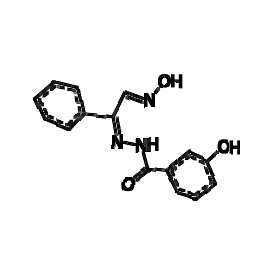 O=C(N/N=C(\C=N\O)c1ccccc1)c1cccc(O)c1